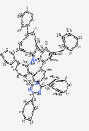 c1ccc(-c2cc(-c3ccccc3)c3c(c2)c2cc(-c4ccccc4)cc(-c4ccccc4)c2n3-c2cccc(-c3nc(-c4ccccc4)nc(-c4ccccc4)n3)c2)cc1